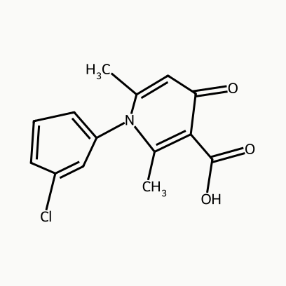 Cc1cc(=O)c(C(=O)O)c(C)n1-c1cccc(Cl)c1